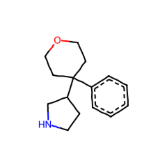 c1ccc(C2(C3CCNC3)CCOCC2)cc1